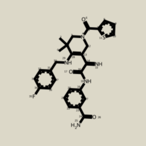 CC1(C)CN(C(=O)c2cccs2)CC(C(=N)C(=O)Nc2cccc(C(N)=O)c2)=C1NCc1ccc(F)cc1